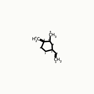 C=CC1CCC(=C)C(C)C1